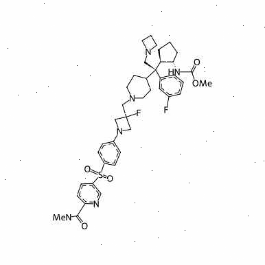 CNC(=O)c1ccc(S(=O)(=O)c2ccc(N3CC(F)(CN4CCC([C@@](CN5CCC5)(c5cccc(F)c5)[C@H]5CCC[C@@H]5NC(=O)OC)CC4)C3)cc2)cn1